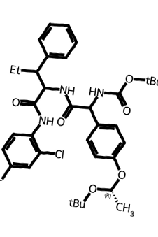 CCC(c1ccccc1)C(NC(=O)C(NC(=O)OC(C)(C)C)c1ccc(O[C@H](C)OC(C)(C)C)cc1)C(=O)Nc1ccc(Br)cc1Cl